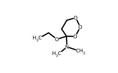 CCOC1(N(C)C)CCOOO1